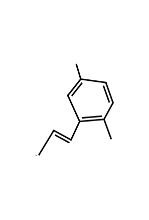 [CH2]C=Cc1cc(C)ccc1C